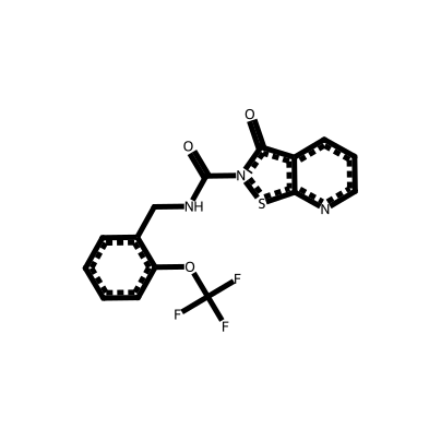 O=C(NCc1ccccc1OC(F)(F)F)n1sc2ncccc2c1=O